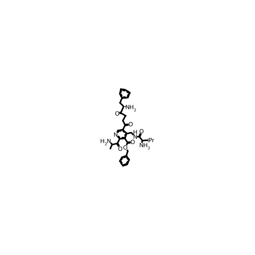 CC(N)C(=O)c1ncc(C(=O)CCC(=O)[C@@H](N)Cc2ccccc2)c(CNC(=O)C(N)C(C)C)c1C(=O)OCc1ccccc1